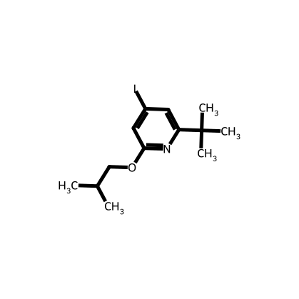 CC(C)COc1cc(I)cc(C(C)(C)C)n1